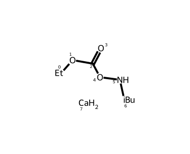 CCOC(=O)ONC(C)CC.[CaH2]